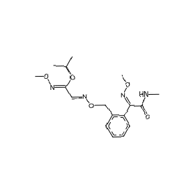 CNC(=O)C(=NOC)c1ccccc1CON=CC(=NOC)OC(C)C